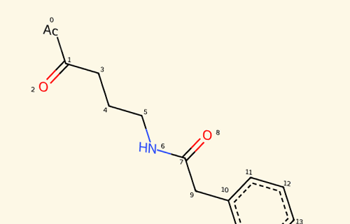 CC(=O)C(=O)CCCNC(=O)Cc1ccccc1